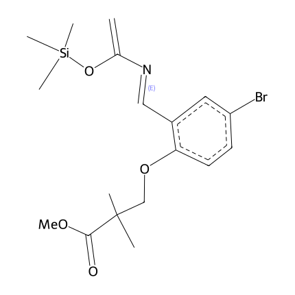 C=C(/N=C/c1cc(Br)ccc1OCC(C)(C)C(=O)OC)O[Si](C)(C)C